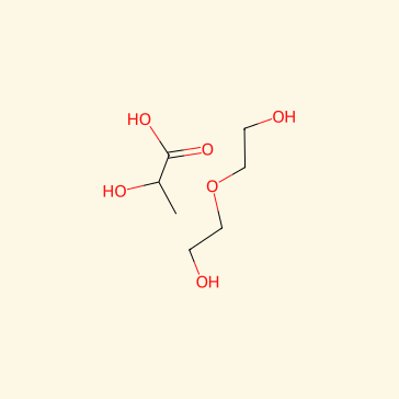 CC(O)C(=O)O.OCCOCCO